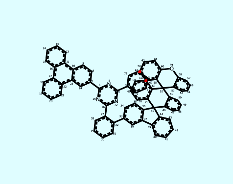 c1ccc(-c2nc(-c3ccc4c5ccccc5c5ccccc5c4c3)nc(-c3ccccc3-c3ccc4c(c3)-c3ccccc3C43c4ccccc4C4(c5ccccc5Oc5ccccc54)c4ccccc43)n2)cc1